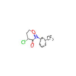 O=C1C(Cl)CCON1c1cccc(C(F)(F)F)c1